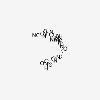 CNc1cc(-c2ccc3cc(C#N)cnn23)ncc1-c1nnc(N2CCN(C(=O)CC[C@@H]3CCN(c4ccc([C@H]5CCC(=O)NC5=O)cn4)C3)CC2)s1